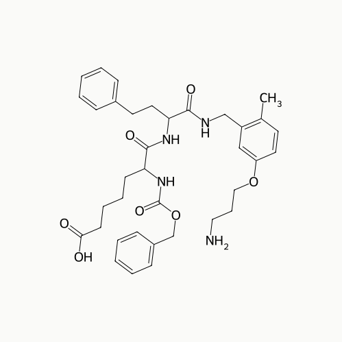 Cc1ccc(OCCCN)cc1CNC(=O)C(CCc1ccccc1)NC(=O)C(CCCCC(=O)O)NC(=O)OCc1ccccc1